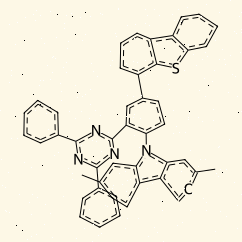 Cc1ccc2c3ccc(C)cc3n(-c3ccc(-c4cccc5c4sc4ccccc45)cc3-c3nc(-c4ccccc4)nc(-c4ccccc4)n3)c2c1